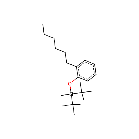 CCCCCCc1ccccc1O[Si](C)(C(C)(C)C)C(C)(C)C